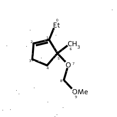 CCC1=C[CH]CC1(C)OCOC